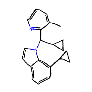 Cc1cccnc1C(C1CC1)n1ccc2cccc(C3CC3)c21